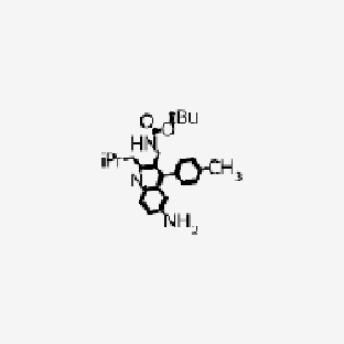 Cc1ccc(-c2c(CNC(=O)OC(C)(C)C)c(CC(C)C)nc3ccc(N)cc23)cc1